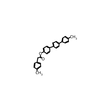 Cc1ccc(CC(=O)Oc2ccc(-c3ccc(-c4ccc(C)cc4)cc3)cc2)cc1